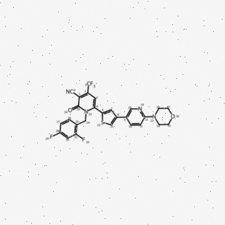 N#Cc1c(C(F)(F)F)cc(-c2cc(-c3ccc(N4CCOCC4)nc3)cs2)n(Cc2ccc(F)cc2F)c1=O